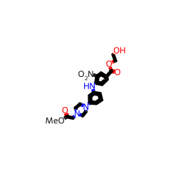 COC(=O)CN1CCN(c2cccc(Nc3ccc(C(=O)OCCO)cc3[N+](=O)[O-])c2)CC1